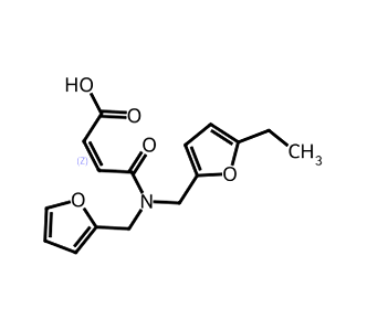 CCc1ccc(CN(Cc2ccco2)C(=O)/C=C\C(=O)O)o1